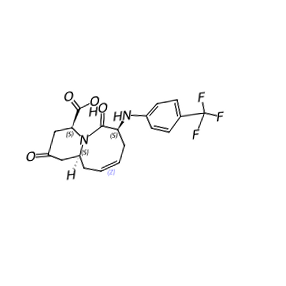 O=C1C[C@@H]2C/C=C\C[C@H](Nc3ccc(C(F)(F)F)cc3)C(=O)N2[C@H](C(=O)O)C1